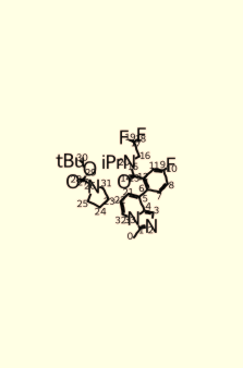 Cc1ncc2c(-c3ccc(F)cc3C(=O)N(CC(F)F)C(C)C)cc([C@@H]3CCN(C(=O)OC(C)(C)C)C3)cn12